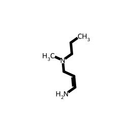 CCCN(C)C/C=C\N